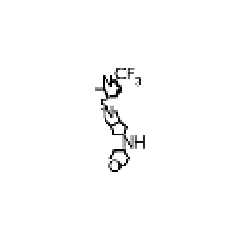 Cc1nc(C(F)(F)F)ccc1SN1CC2CC(NC3CCOCC3)CC2C1